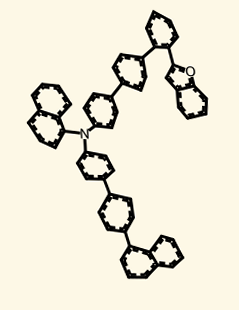 c1ccc(-c2cc3ccccc3o2)c(-c2ccc(-c3ccc(N(c4ccc(-c5ccc(-c6cccc7ccccc67)cc5)cc4)c4cccc5ccccc45)cc3)cc2)c1